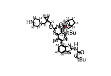 CC(C)(C)OC(=O)Nc1nc2c(-c3ncc4c(N5CC6CCC(C5)N6C(=O)OC(C)(C)C)nc(OCC5(CN6CCNCC6)CC5)nc4c3F)cccc2s1